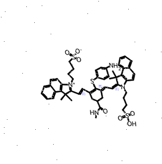 CNC(=O)C1CC(/C=C/C2=[N+](CCCCS(=O)(=O)[O-])c3ccc4ccccc4c3C2(C)C)=C(Sc2ccc(N)cc2)C(=C/C=C2/N(CCCCS(=O)(=O)O)c3ccc4ccccc4c3C2(C)C)/C1